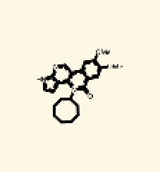 COc1cc2c(=O)n(C3CCCCCCC3)c3c4cc[nH]c4ncc3c2cc1OC